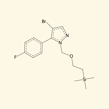 C[Si](C)(C)CCOCn1ncc(Br)c1-c1ccc(F)cc1